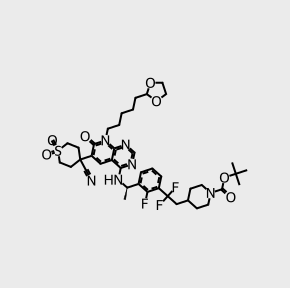 C[C@@H](Nc1ncnc2c1cc(C1(C#N)CCS(=O)(=O)CC1)c(=O)n2CCCCCC1OCCO1)c1cccc(C(F)(F)CC2CCN(C(=O)OC(C)(C)C)CC2)c1F